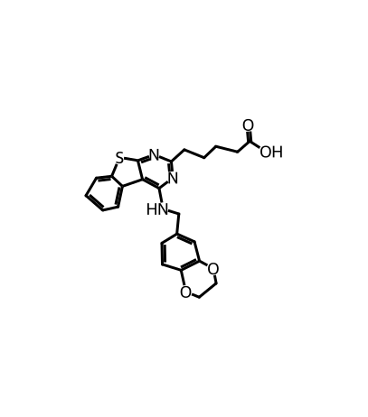 O=C(O)CCCCc1nc(NCc2ccc3c(c2)OCCO3)c2c(n1)sc1ccccc12